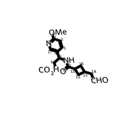 COc1ccc(C(CC(=O)O)NC(=O)C2CC(CC=O)C2)cn1